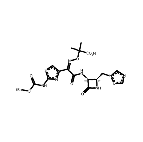 CC(C)(C)OC(=O)Nc1nc(C(=NOC(C)(C)C(=O)O)C(=O)N[C@@H]2C(=O)N[C@@H]2Cn2cncn2)cs1